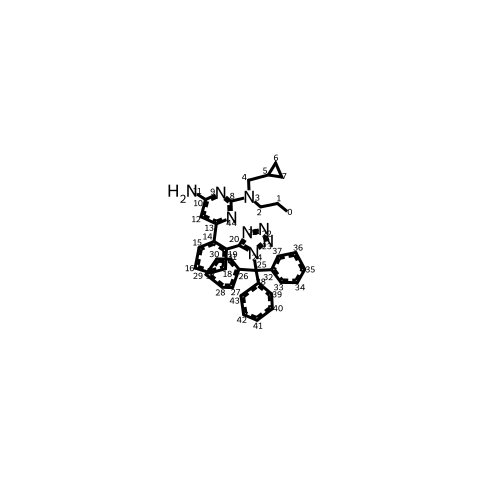 CCCN(CC1CC1)c1nc(N)cc(-c2ccccc2-c2nnnn2C(c2ccccc2)(c2ccccc2)c2ccccc2)n1